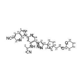 CC(C#N)Nc1cc(-n2ncc3cc(C#N)cnc32)ncc1-n1cc(C23CCC(CCOC4CCCCO4)(CC2)C3)nn1